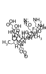 CC(=O)N[C@@H](CCC(=O)C=[N+]=[N-])C(=O)O.CCC(=O)OC=O.CCC(Cc1cnc2nc(=N)[nH]c(N)c2n1)c1ccc(C(=O)N[C@@H](CCC(=O)O)C(=O)O)cc1.NCCCC(N)(C(=O)O)C(F)F